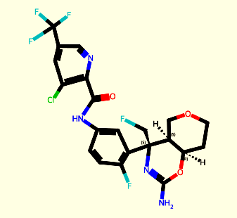 NC1=N[C@](CF)(c2cc(NC(=O)c3ncc(C(F)(F)F)cc3Cl)ccc2F)[C@H]2COCC[C@H]2O1